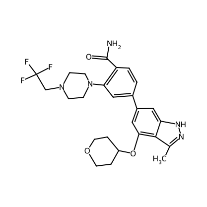 Cc1n[nH]c2cc(-c3ccc(C(N)=O)c(N4CCN(CC(F)(F)F)CC4)c3)cc(OC3CCOCC3)c12